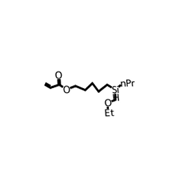 C=CC(=O)OCCCCC[SiH](CCC)COCC